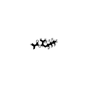 C=C(C)C(=O)OC(CC(F)(F)C(F)(F)C(F)(F)F)C(C)C